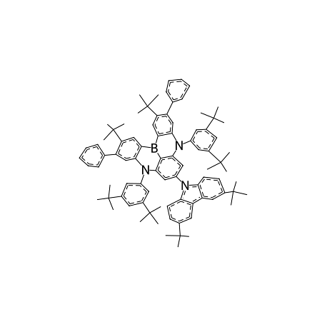 CC(C)(C)c1cc(N2c3cc(-c4ccccc4)c(C(C)(C)C)cc3B3c4cc(C(C)(C)C)c(-c5ccccc5)cc4N(c4cc(C(C)(C)C)cc(C(C)(C)C)c4)c4cc(-n5c6ccc(C(C)(C)C)cc6c6cc(C(C)(C)C)ccc65)cc2c43)cc(C(C)(C)C)c1